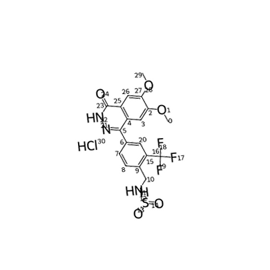 COc1cc2c(-c3ccc(CN[SH](=O)=O)c(C(F)(F)F)c3)n[nH]c(=O)c2cc1OC.Cl